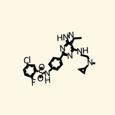 Cc1n[nH]c2nc(-c3ccc(NS(=O)(=O)c4cc(Cl)ccc4F)cc3)nc(NCCN(C)C3CC3)c12